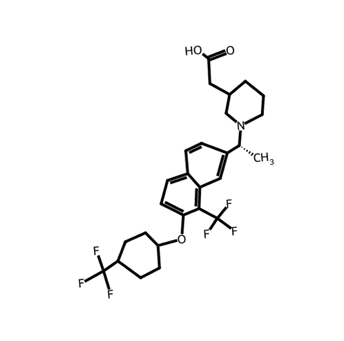 C[C@H](c1ccc2ccc(OC3CCC(C(F)(F)F)CC3)c(C(F)(F)F)c2c1)N1CCCC(CC(=O)O)C1